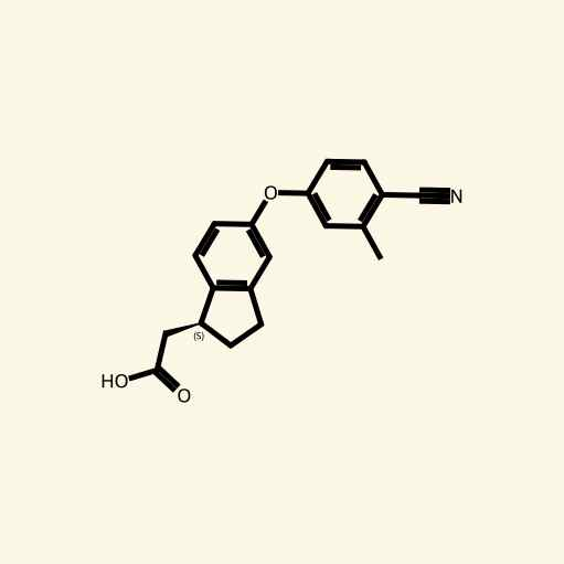 Cc1cc(Oc2ccc3c(c2)CC[C@H]3CC(=O)O)ccc1C#N